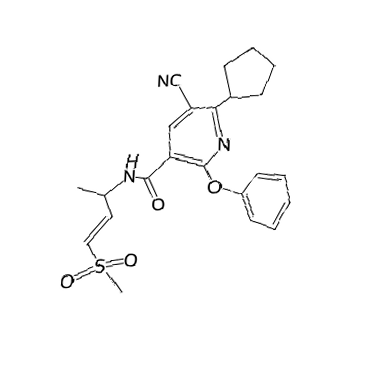 CC(/C=C/S(C)(=O)=O)NC(=O)c1cc(C#N)c(C2CCCC2)nc1Oc1ccccc1